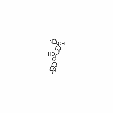 Cc1ccc2cc(OC[C@H](O)CN3CCC(O)(c4cccnc4)CC3)ccc2n1